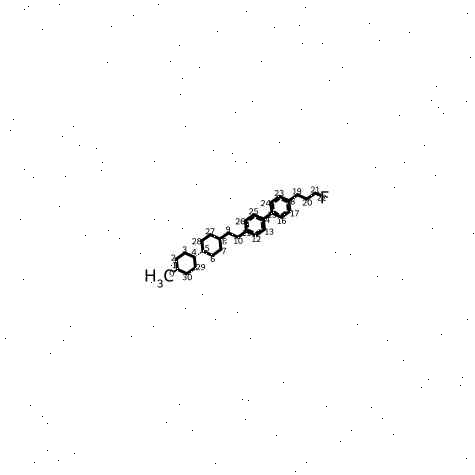 C[C@H]1CC[C@H](C2CCC(CCc3ccc(-c4ccc(CCCF)cc4)cc3)CC2)CC1